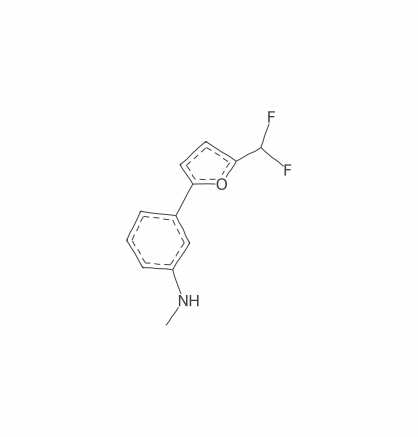 CNc1cccc(-c2ccc(C(F)F)o2)c1